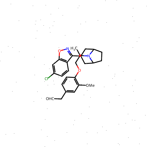 COc1cc(CC=O)ccc1OCC(C)N1C2CCC1CC(c1noc3cc(Cl)ccc13)C2